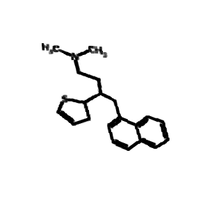 CN(C)CCC(Cc1cccc2ccccc12)C1CC=CS1